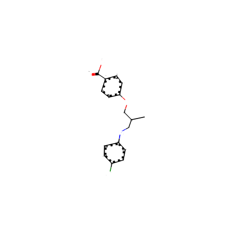 CC(CNc1ccc(Cl)cc1)COc1ccc(C(=O)O)cc1